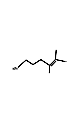 [CH2]/C(C)=C(\C)CCCCCCC